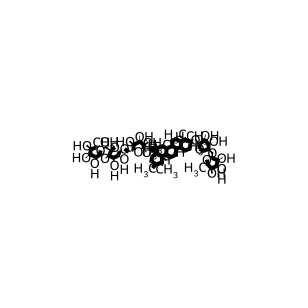 C[C@@H]1O[C@@H](O[C@H]2[C@H](O)[C@@H](O)[C@H](OC[C@H]3O[C@@H](OC(=O)[C@]45CCC(C)(C)C[C@H]4C4=CC[C@@H]6[C@@]7(C)CC[C@H](O[C@@H]8OC[C@H](O[C@@H]9O[C@@H](C)[C@H](O)[C@@H](O)[C@H]9O)[C@H](O)[C@H]8O)C(C)(C)[C@@H]7CC[C@@]6(C)[C@]4(C)CC5)[C@H](O)[C@@H](O)[C@@H]3O)O[C@@H]2CO)[C@H](O)[C@H](O)[C@H]1O